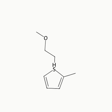 COCC[SH]1C=CC=C1C